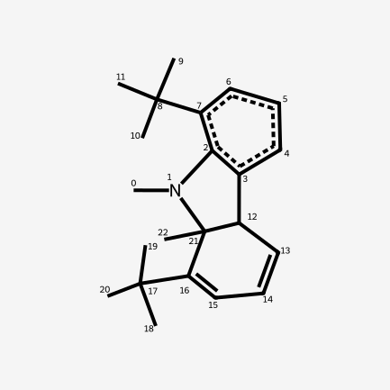 CN1c2c(cccc2C(C)(C)C)C2C=CC=C(C(C)(C)C)C21C